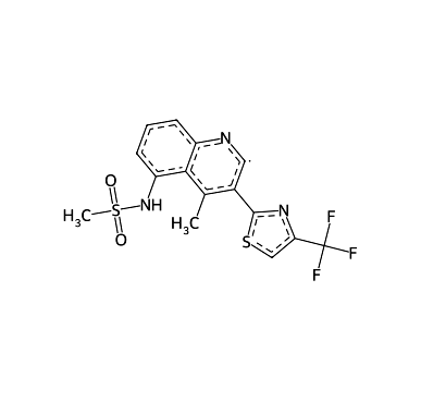 Cc1c(-c2nc(C(F)(F)F)cs2)[c]nc2cccc(NS(C)(=O)=O)c12